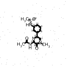 CC(=O)Nc1nc(-c2cccc(N[S+](C)[O-])c2)cn(C)c1=O